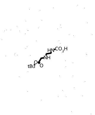 CC(C)(C)OC(=O)CNCCNC(=O)O